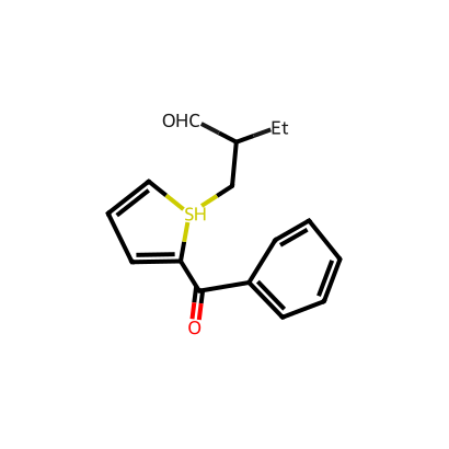 CCC(C=O)C[SH]1C=CC=C1C(=O)c1ccccc1